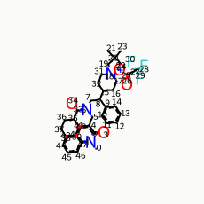 Cn1c(=O)c(CN(CC(c2ccccc2)C2CC[N+](CC(C)(C)C)(OC(=O)C(F)(F)F)CC2)C(=O)C2CCCCC2)cc2ccccc21